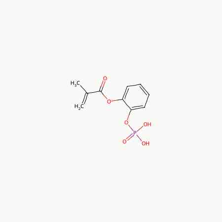 C=C(C)C(=O)Oc1ccccc1OP(=O)(O)O